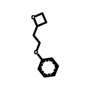 c1ccc(OCCC2CCO2)cc1